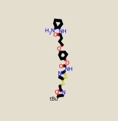 CC(C)(C)c1cnc(CSc2cnc(NC(=O)Oc3ccc(OCCCC(=O)Nc4ccccc4N)cc3)s2)o1